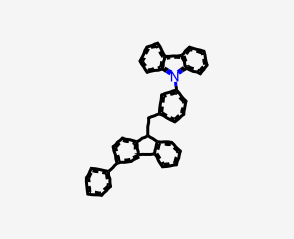 c1ccc(-c2ccc3c(c2)-c2ccccc2C3Cc2cccc(-n3c4ccccc4c4ccccc43)c2)cc1